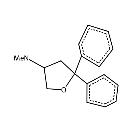 CNC1COC(c2ccccc2)(c2ccccc2)C1